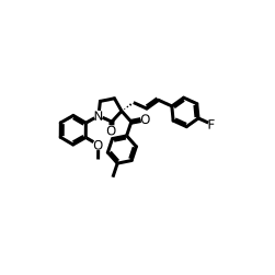 COc1ccccc1N1CC[C@@](C/C=C/c2ccc(F)cc2)(C(=O)c2ccc(C)cc2)C1=O